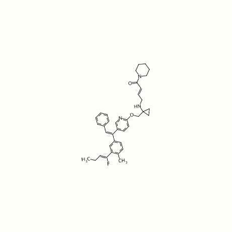 CC/C=C(\F)c1cc(/C(=C/c2ccccc2)c2ccc(OCC3(NC/C=C/C(=O)N4CCCCC4)CC3)nc2)ccc1C